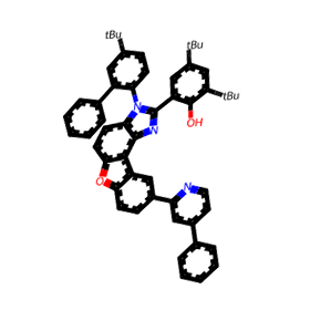 CC(C)(C)c1ccc(-n2c(-c3cc(C(C)(C)C)cc(C(C)(C)C)c3O)nc3c4c(ccc32)oc2ccc(-c3cc(-c5ccccc5)ccn3)cc24)c(-c2ccccc2)c1